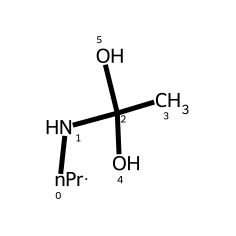 CC[CH]NC(C)(O)O